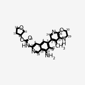 Cc1c(-c2cc3cc(NC(=O)O[C@H]4CCOC4)ncc3c(N)c2F)cnc2c1NCCO2